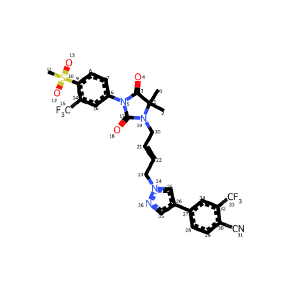 CC1(C)C(=O)N(c2ccc(S(C)(=O)=O)c(C(F)(F)F)c2)C(=O)N1CC=CCn1cc(-c2ccc(C#N)c(C(F)(F)F)c2)cn1